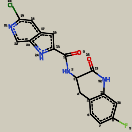 O=C(NC1Cc2ccc(F)cc2NC1=O)c1cc2cc(Cl)ncc2[nH]1